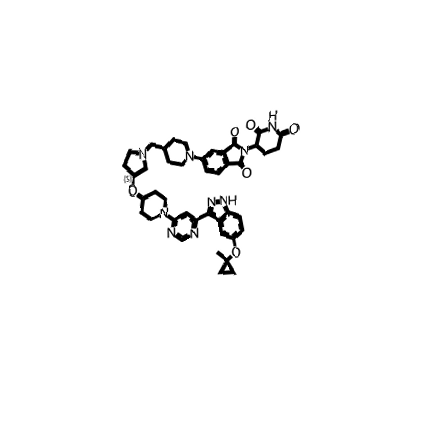 CC1(Oc2ccc3[nH]nc(-c4cc(N5CCC(O[C@H]6CCN(CC7CCN(c8ccc9c(c8)C(=O)N(C8CCC(=O)NC8=O)C9=O)CC7)C6)CC5)ncn4)c3c2)CC1